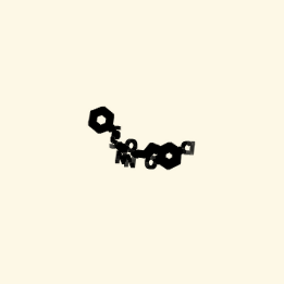 Clc1ccc2oc(-c3nnc(SSC4CCCCC4)o3)cc2c1